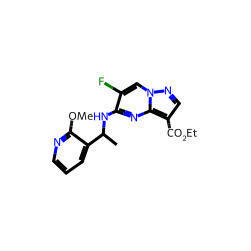 CCOC(=O)c1cnn2cc(F)c(NC(C)c3cccnc3OC)nc12